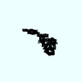 O=C(Cc1ccccc1Nc1c(Cl)cccc1Cl)Oc1cc(O)cc(/C=C/c2ccc(O)cc2)c1